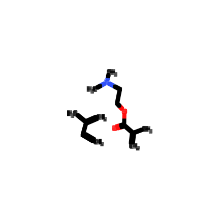 C=C(C)C(=O)OCCN(C)C.C=CC(=C)C